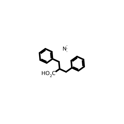 O=C(O)C(Cc1ccccc1)Cc1ccccc1.[N]